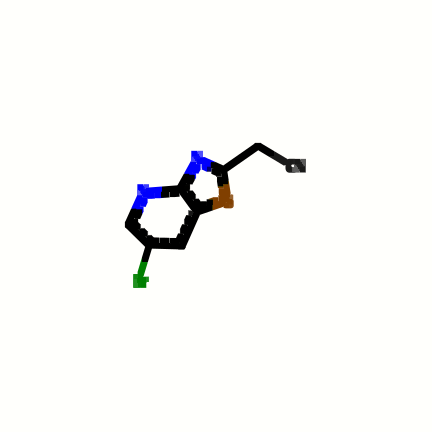 N#CCc1nc2ncc(Br)cc2s1